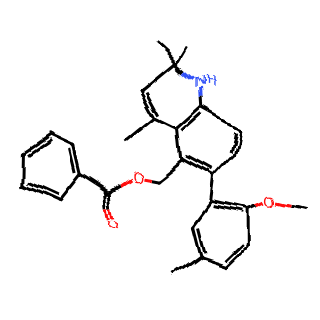 COc1ccc(C)cc1-c1ccc2c(c1COC(=O)c1ccccc1)C(C)=CC(C)(C)N2